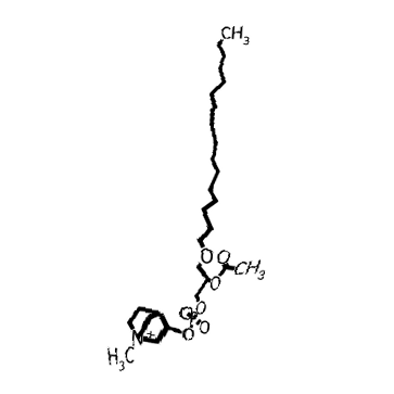 CCCCCCCCCCCCCCCCOCC(COP(=O)([O-])OC1C[N+]2(C)CCC1CC2)OC(C)=O